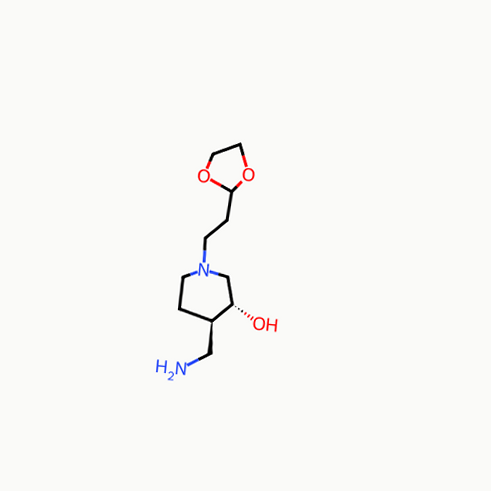 NC[C@H]1CCN(CCC2OCCO2)C[C@@H]1O